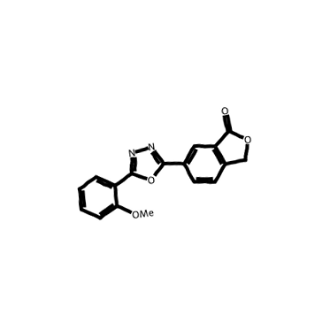 COc1ccccc1-c1nnc(-c2ccc3c(c2)C(=O)OC3)o1